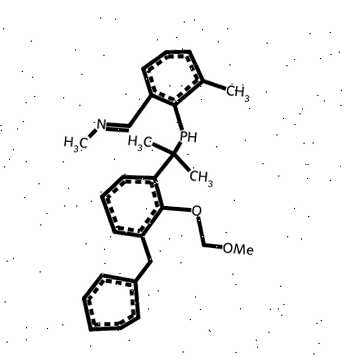 C/N=C/c1cccc(C)c1PC(C)(C)c1cccc(Cc2ccccc2)c1OCOC